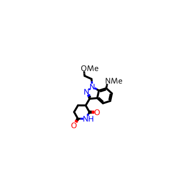 CNc1cccc2c(C3CCC(=O)NC3=O)nn(CCOC)c12